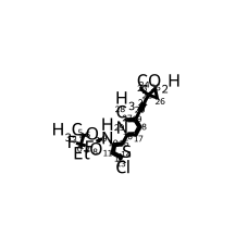 CCC(F)(F)[C@@H](C)OC(=O)Nc1cc(Cl)sc1-c1ccc(C#CC2(CC(=O)O)CC2)c(C)n1